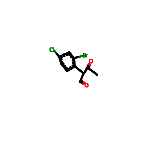 CC(=O)C(C=O)c1ccc(Cl)cc1Br